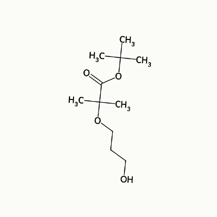 CC(C)(C)OC(=O)C(C)(C)OCCCO